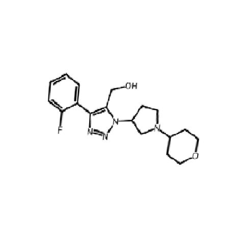 OCc1c(-c2ccccc2F)nnn1C1CCN(C2CCOCC2)C1